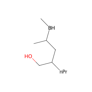 CBC(C)CC(CO)CCC